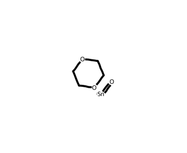 C1COCCO1.[O]=[Sn]